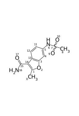 Cc1oc2cc(NS(C)(=O)=O)ccc2c1C(N)=O